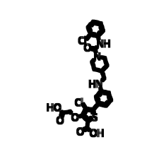 O=C(O)COc1c(C(=O)O)sc(-c2cccc(NCC3CCN(C(=O)Nc4ccccc4Cl)CC3)c2)c1Cl